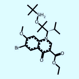 CCOC(=O)c1cn([C@@H](C(C)C)C(C)(C)O[SiH2]C(C)(C)C)c2cc(OC)c(Br)cc2c1=O